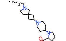 CNC(=O)C1CCCN1C1CCN(C2CC3(CCN(C(=O)O)C3)C2)CC1